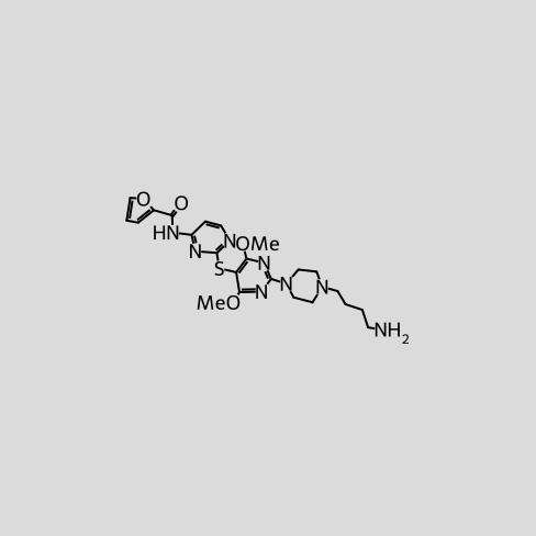 COc1nc(N2CCN(CCCCN)CC2)nc(OC)c1Sc1nccc(NC(=O)c2ccco2)n1